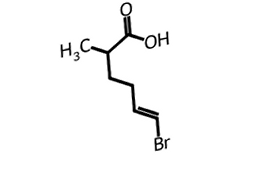 CC(CCC=CBr)C(=O)O